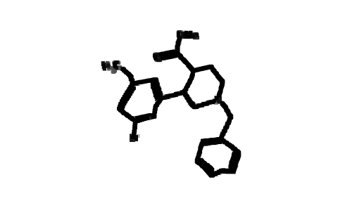 COC(=O)C1CCN(Cc2ccccc2)CC1c1cc(C)cc(Br)c1